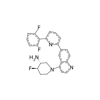 N[C@@H]1CN(c2ccnc3ccc(-c4cccc(-c5c(F)cccc5F)n4)cc23)CC[C@H]1F